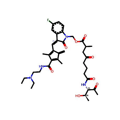 C=C1C(C)=C(C(=O)NCCN(CC)CC)C(C)=C1/C=C1\C(=O)N(COC(=O)C(C)CC(=O)CCCC(=O)N[C@H](C(C)=O)[C@@H](C)O)c2ccc(F)cc21